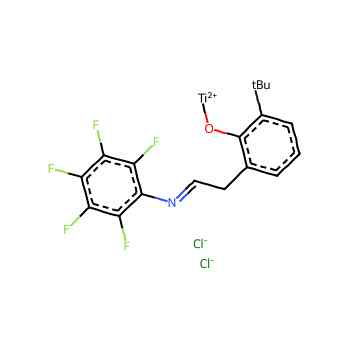 CC(C)(C)c1cccc(CC=Nc2c(F)c(F)c(F)c(F)c2F)c1[O][Ti+2].[Cl-].[Cl-]